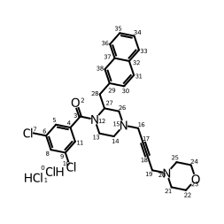 Cl.Cl.O=C(c1cc(Cl)cc(Cl)c1)N1CCN(CC#CCN2CCOCC2)CC1Cc1ccc2ccccc2c1